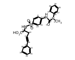 CN(C(=O)Nc1ccc(S(=O)(=O)NC(CC#Cc2ccccc2)C(=O)O)cc1)c1ccccc1